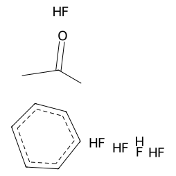 CC(C)=O.F.F.F.F.F.c1ccccc1